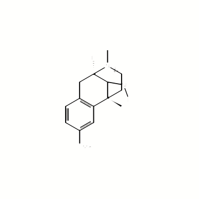 CCN[C@@H]1[C@H]2Cc3ccc(OC)cc3[C@@]1(C)CCN2C